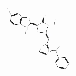 CCn1c(=O)/c(=C2\Sc3cc(F)ccc3N2C)s/c1=C\c1scc[n+]1C(C)c1ccccc1